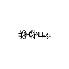 CC1(C)OB(c2cnc(NCC#C[Si](C)(C)C)nc2)OC1(C)C